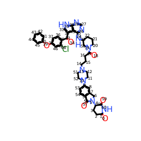 O=C1CCC(N2Cc3cc(N4CCN(CCCC(=O)N5CCCC(Nc6ncnc7[nH]cc(C(=O)c8ccc(Oc9ccccc9)cc8Cl)c67)C5)CC4)ccc3C2=O)C(=O)N1